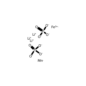 O=P([O-])([O-])[O-].O=P([O-])([O-])[O-].[Fe+3].[Li+].[Li+].[Li+].[Mn]